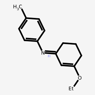 CCOC1=C/C(=N/c2ccc(C)cc2)CCC1